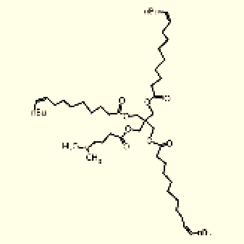 CCCC/C=C\CCCCCCCCC(=O)OCC(COC(=O)CCCCCCC/C=C\CCCC)(COC(=O)CCCCCCC/C=C\CCCC)COC(=O)CCCN(C)C